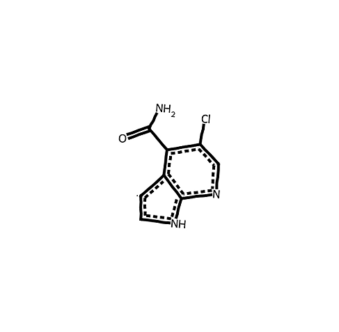 NC(=O)c1c(Cl)cnc2[nH]c[c]c12